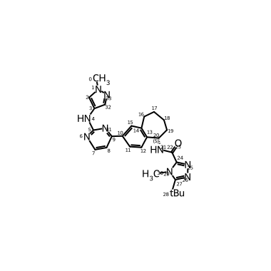 Cn1cc(Nc2nccc(-c3ccc4c(c3)CCCC[C@@H]4NC(=O)c3nnc(C(C)(C)C)n3C)n2)cn1